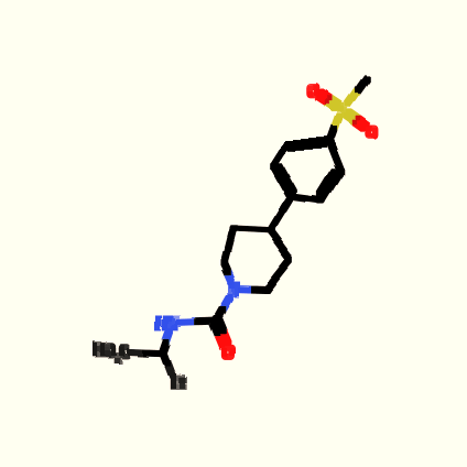 CCOC(=O)C(CC)NC(=O)N1CCC(c2ccc(S(C)(=O)=O)cc2)CC1